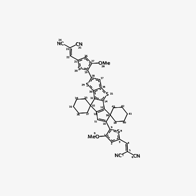 COc1cc(C=C(C#N)C#N)sc1C1=CC2=C(c3sc4cc(-c5sc(C=C(C#N)C#N)cc5OC)sc4c3C23CCCCC3)C12CCCCC2